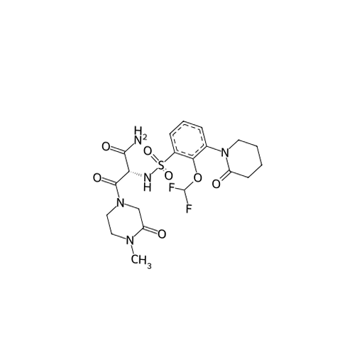 CN1CCN(C(=O)[C@@H](NS(=O)(=O)c2cccc(N3CCCCC3=O)c2OC(F)F)C(N)=O)CC1=O